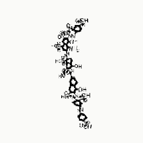 Nc1c(N=Nc2ccc3c(O)c(N=Nc4ccc5c(O)c(N=Nc6ccc(N=Nc7ccc(S(=O)(=O)O)cc7)cc6S(=O)(=O)O)c(S(=O)(=O)O)cc5c4)c(S(=O)(=O)O)cc3c2S(=O)(=O)O)cc(S(=O)(=O)O)c2cc(S(=O)(=O)O)c(N=Nc3ccc(S(=O)(=O)O)cc3[N+](=O)[O-])c(O)c12